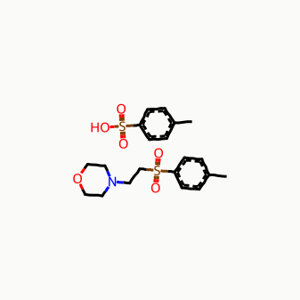 Cc1ccc(S(=O)(=O)CCN2CCOCC2)cc1.Cc1ccc(S(=O)(=O)O)cc1